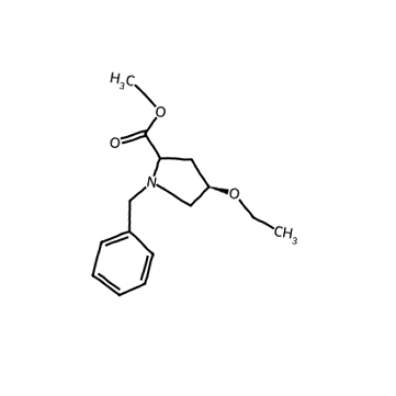 CCO[C@@H]1CC(C(=O)OC)N(Cc2ccccc2)C1